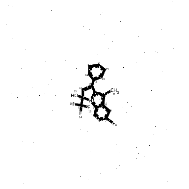 Cc1c2n(c3ccc(F)cc13)C(O)(C(F)(F)F)C=C2c1ccccc1